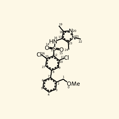 COCc1ccccc1-c1cc(Cl)c(S(=O)(=O)Nc2c(C)nn(C)c2C)c(Cl)c1